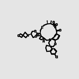 C[C@@H]1[C@@H](C)CCC[C@H]([C@H]2OC[C@@H](N3CC4(COC4)C3)CO2)[C@@H]2CC[C@H]2CN2C[C@@]3(CCCc4cc(Cl)ccc43)COc3ccc(cc32)C(=O)NS1(=O)=O